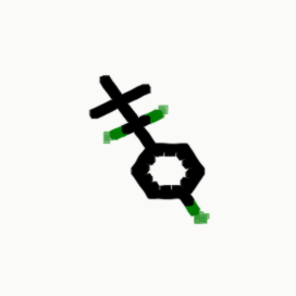 CC(C)(C)C(F)(F)c1ccc(Br)cc1